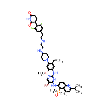 CCc1cc(Nc2ncc(Br)c(Nc3ccc4nc(C(C)C)ccc4c3P(C)(C)=O)n2)c(OC)cc1N1CCC(NCCNCCc2cc(F)c(C3CCC(=O)NC3=O)c(F)c2)CC1